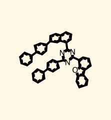 c1ccc(-c2ccc(-c3ccc4cccc(-c5nc(-c6ccc(-c7ccccc7)cc6)nc(-c6cccc7c6oc6ccccc67)n5)c4c3)cc2)cc1